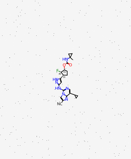 CC1(NC(=O)O[C@H]2CC[C@@H](c3cc(Nc4ncc(C5CC5)c5nc(C#N)cn45)n[nH]3)[C@H]2F)CC1